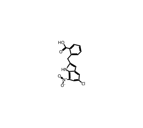 O=C(O)c1ccccc1Cc1cc2cc(Cl)cc([N+](=O)[O-])c2[nH]1